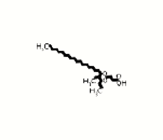 CCCCCCCCCCCCCCCCCCC(OC(=O)/C=C/C(=O)O)C(CC)CCCC